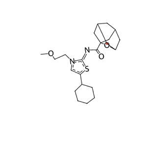 COCCn1cc(C2CCCCC2)sc1=NC(=O)C12CC3CC(CC(C3)O1)C2